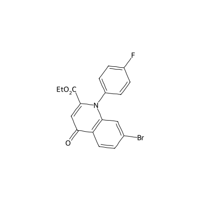 CCOC(=O)c1cc(=O)c2ccc(Br)cc2n1-c1ccc(F)cc1